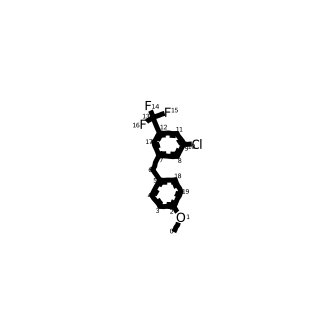 COc1ccc(Cc2cc(Cl)cc(C(F)(F)F)c2)cc1